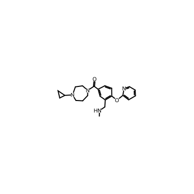 CNCc1cc(C(=O)N2CCCN(C3CC3)CC2)ccc1Oc1ccccn1